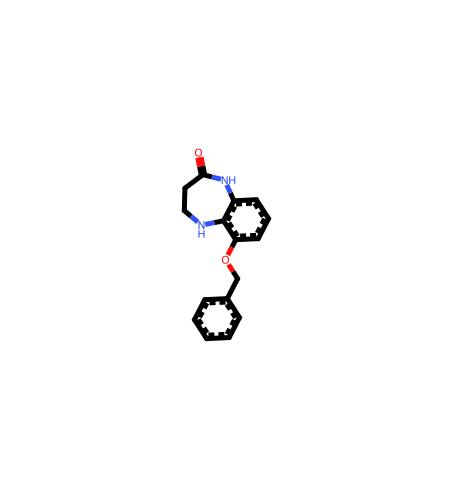 O=C1CCNc2c(cccc2OCc2ccccc2)N1